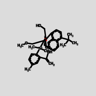 C=C(O)c1cc(C)ccc1[N+](C)(C)C1(C)C(COC)C=C(CO)C12Cc1ccc3c(C(C)(C)C)ccc2c3c1